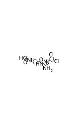 Nc1cn(-c2cc(Cl)cc(Cl)c2)nc1NC(=O)c1ccc(CNC(=O)O)cc1